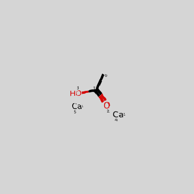 CC(=O)O.[Ca].[Ca]